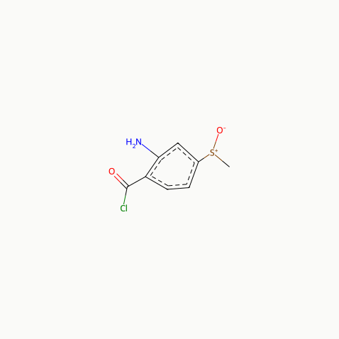 C[S+]([O-])c1ccc(C(=O)Cl)c(N)c1